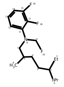 CCCC(CC)CCC(C)CN(CF)c1cccc(F)c1F